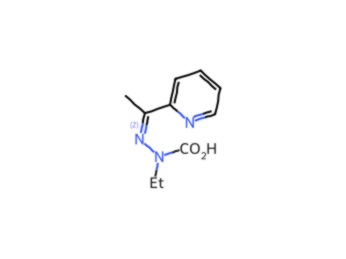 CCN(/N=C(/C)c1ccccn1)C(=O)O